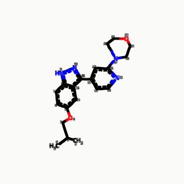 CC(C)COc1ccc2[nH]nc(-c3ccnc(N4CCOCC4)c3)c2c1